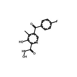 Cc1c(C(=O)c2ccc(F)cc2)cnc(C(=O)NO)c1O